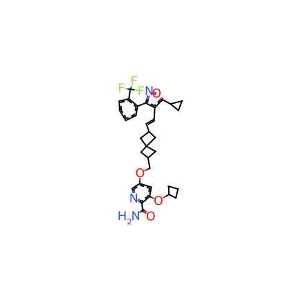 NC(=O)c1ncc(OCC2CC3(CC(/C=C/c4c(-c5ccccc5C(F)(F)F)noc4C4CC4)C3)C2)cc1OC1CCC1